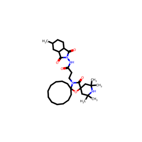 CC1CCC2C(=O)N(NC(=O)CCN3C(=O)C4(CC(C)(C)NC(C)(C)C4)OC34CCCCCCCCCCC4)C(=O)C2C1